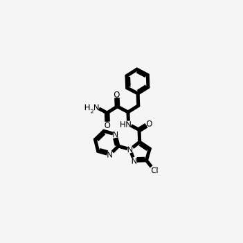 NC(=O)C(=O)C(Cc1ccccc1)NC(=O)c1cc(Cl)nn1-c1ncccn1